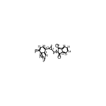 Cn1cc2c(C3CC3CN3C(=O)c4ccccc4C3=O)ccc(F)c2n1